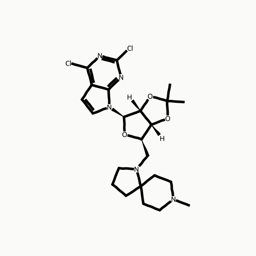 CN1CCC2(CCCN2C[C@H]2O[C@@H](n3ccc4c(Cl)nc(Cl)nc43)[C@@H]3OC(C)(C)O[C@@H]32)CC1